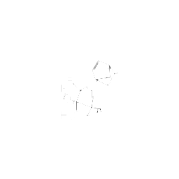 C1=CC2CCC1C2.CC(OF)(C(F)F)C(F)(F)F